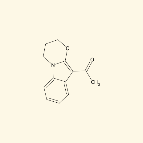 CC(=O)c1c2n(c3ccccc13)CCCO2